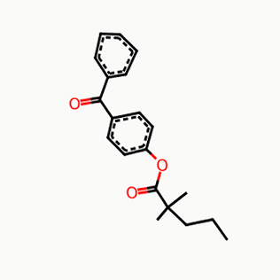 CCCC(C)(C)C(=O)Oc1ccc(C(=O)c2ccccc2)cc1